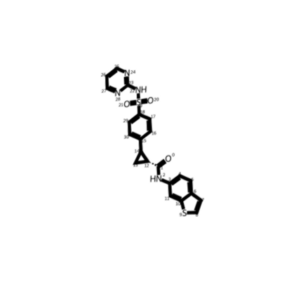 O=C(Nc1ccc2ccsc2c1)[C@@H]1CC1c1ccc(S(=O)(=O)Nc2ncccn2)cc1